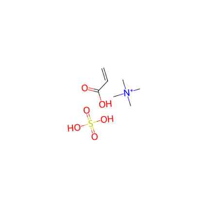 C=CC(=O)O.C[N+](C)(C)C.O=S(=O)(O)O